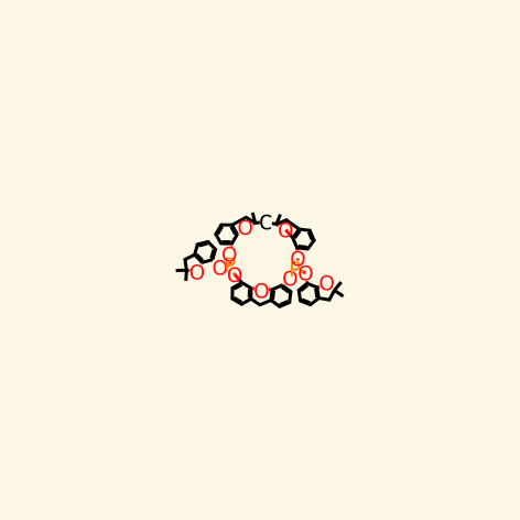 CC1(C)Cc2cccc(OP3Oc4cccc5c4Oc4c(cccc4OP(Oc4cccc6c4OC(C)(C)C6)Oc4cccc6c4OC(C)(C6)CC4(C)Cc6cccc(c6O4)O3)C5)c2O1